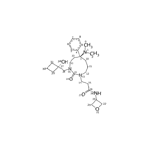 CN(C)[C@@]1(c2ccccc2)CCCN(CCC(=O)NC2COC2)C(=O)N(CC2(O)CCC2)CC1